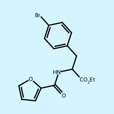 CCOC(=O)C(Cc1ccc(Br)cc1)NC(=O)c1ccco1